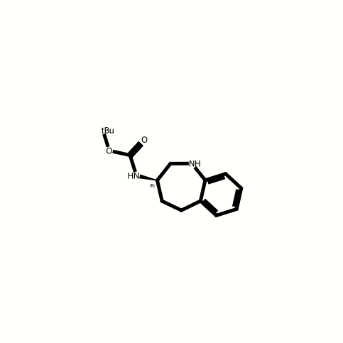 CC(C)(C)OC(=O)N[C@@H]1CCc2ccccc2NC1